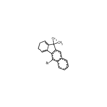 CC1(C)C2=CCCC=C2c2c1cc1ccccc1c2Br